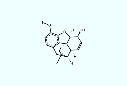 CN1CC[C@]23c4c5ccc(OI)c4O[C@H]2[C@@H](O)C=C[C@H]3[C@H]1C5